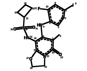 Cc1c(Nc2ccc(I)cc2F)c(NS(=O)(=O)C2CCC2)c2n(c1=O)CCO2